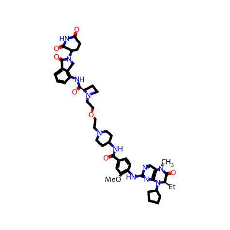 CC[C@@H]1C(=O)N(C)c2cnc(Nc3ccc(C(=O)NC4CCN(CCOCCN5CC[C@@H]5C(=O)Nc5cccc6c5CN(C5CCC(=O)NC5=O)C6=O)CC4)cc3OC)nc2N1C1CCCC1